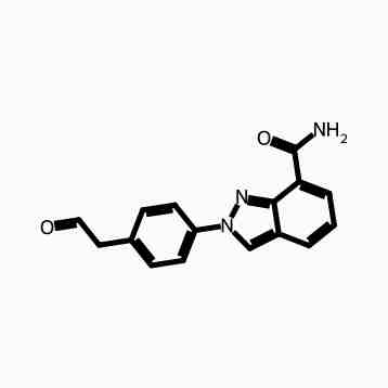 NC(=O)c1cccc2cn(-c3ccc(CC=O)cc3)nc12